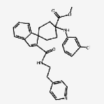 COC(=O)C1(Nc2cccc(Cl)c2)CCC2(CC1)C(C(=O)NCCc1ccncc1)=Cc1ccccc12